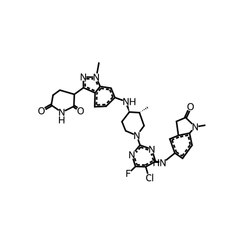 C[C@@H]1CN(c2nc(F)c(Cl)c(Nc3ccc4c(c3)CC(=O)N4C)n2)CC[C@H]1Nc1ccc2c(C3CCC(=O)NC3=O)nn(C)c2c1